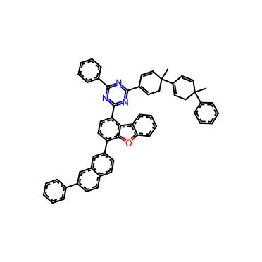 CC1(C2=CCC(C)(c3ccccc3)C=C2)C=CC(c2nc(-c3ccccc3)nc(-c3ccc(-c4ccc5ccc(-c6ccccc6)cc5c4)c4oc5ccccc5c34)n2)=CC1